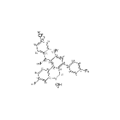 CC(C)c1nc(-c2ccc(F)cc2)c(CCO)c(-c2ccc(F)cc2)c1C(F)c1ccc(C(F)(F)F)cc1